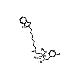 CO[C@]1(CCN(C)CCCCCCCc2nc3ccccc3[nH]2)C(O)Cc2cc(F)ccc2[C@@H]1C(C)C